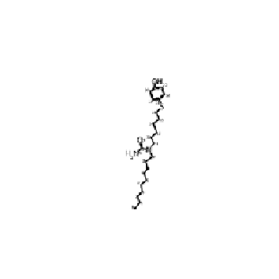 CCCCCCCCCCN(CCCCCCSc1ccc(O)cc1)C(N)=O